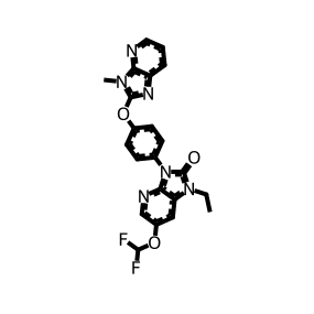 CCn1c(=O)n(-c2ccc(Oc3nc4cccnc4n3C)cc2)c2ncc(OC(F)F)cc21